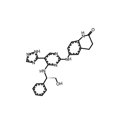 O=C1CCc2cc(Nc3ncc(-c4ncn[nH]4)c(N[C@H](CO)c4ccccc4)n3)ccc2N1